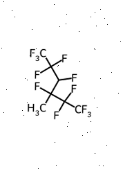 CC(F)(C(F)C(F)(F)C(F)(F)F)C(F)(F)C(F)(F)F